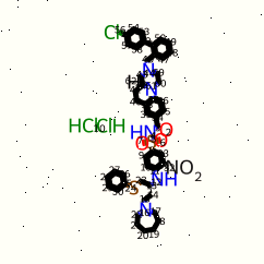 Cl.Cl.O=C(NS(=O)(=O)c1ccc(N[C@H](CCN2CCCCCC2)CSc2ccccc2)c([N+](=O)[O-])c1)c1ccc2c(c1)CC[C@@H]1CN(Cc3ccccc3-c3ccc(Cl)cc3)CCN21